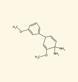 COC1=CC(c2cccc(OC)c2)C=CC1(N)N